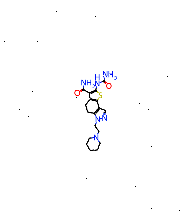 NC(=O)Nc1sc2c(c1C(N)=O)CCc1c-2cnn1CCN1CCCCC1